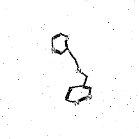 c1cnc(C[N]Cc2ccnnc2)cn1